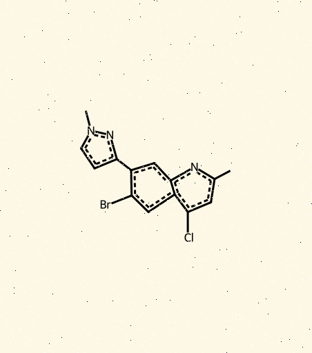 Cc1cc(Cl)c2cc(Br)c(-c3ccn(C)n3)cc2n1